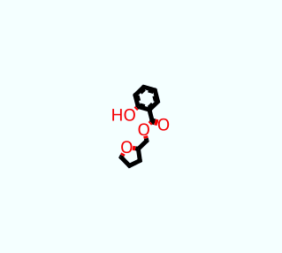 O=C(OCC1CCCO1)c1ccccc1O